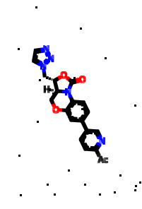 CC(=O)c1ccc(-c2ccc3c(c2)OC[C@H]2[C@H](Cn4ccnn4)OC(=O)N32)cn1